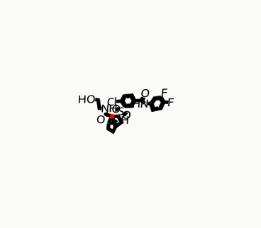 O=C(CC1(O)C2CCC1CC(S(=O)(=O)c1cc(C(=O)Nc3ccc(F)c(F)c3)ccc1Cl)C2)NCCO